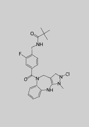 CN1C2=C(CN(C(=O)c3ccc(CNC(=O)C(C)(C)C)c(F)c3)c3ccccc3N2)CN1Cl